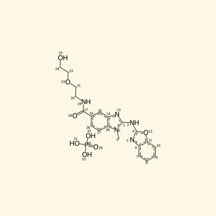 Cn1c(Nc2nc3ccccc3o2)nc2cc(C(=O)NCCOCCO)ccc21.O=P(O)(O)O